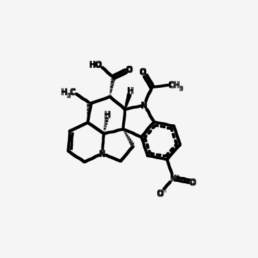 CC[C@]12C=CCN3CC[C@]4(c5cc([N+](=O)[O-])ccc5N(C(C)=O)[C@H]4[C@@H](C(=O)O)C1)[C@@H]32